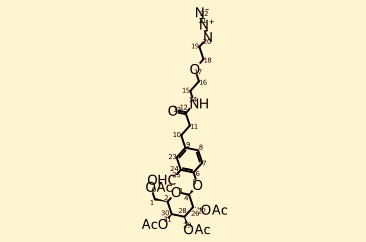 CC(=O)OC[C@H]1O[C@@H](Oc2ccc(CCC(=O)NCCOCCN=[N+]=[N-])cc2C=O)[C@H](OC(C)=O)[C@@H](OC(C)=O)[C@H]1OC(C)=O